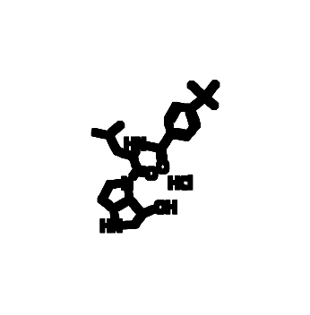 CC(C)CC(NC(=O)c1ccc(C(C)(C)C)cc1)C(=O)N1CCC2NCC(O)C21.Cl